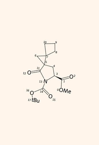 COC(=O)[C@@H]1CC2(CC23CCC3)C(=O)N1C(=O)OC(C)(C)C